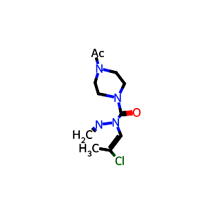 C=NN(/C=C(\C)Cl)C(=O)N1CCN(C(C)=O)CC1